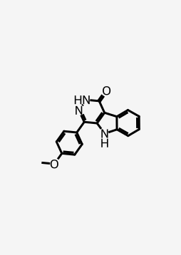 COc1ccc(-c2n[nH]c(=O)c3c2[nH]c2ccccc23)cc1